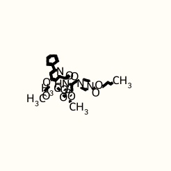 CCCCOC(=O)N1CCN(C(=O)C(CP(=O)(OCC)OCC)NC(=O)c2cc(OCCOC)cc(-c3ccccc3)n2)CC1